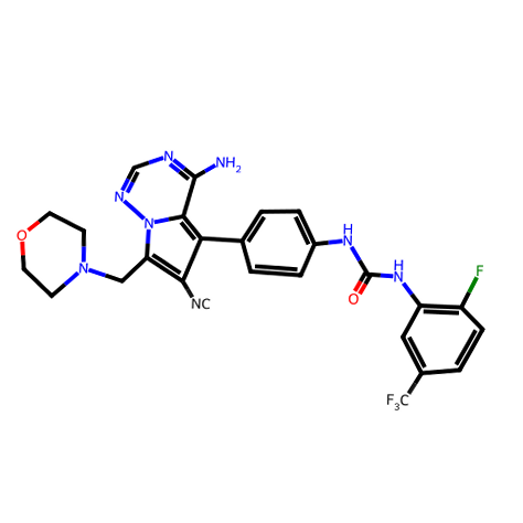 [C-]#[N+]c1c(-c2ccc(NC(=O)Nc3cc(C(F)(F)F)ccc3F)cc2)c2c(N)ncnn2c1CN1CCOCC1